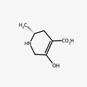 C[C@@H]1CC(C(=O)O)=C(O)CN1